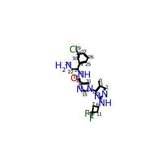 Cc1cnc(NC2CC(F)(F)C2)nc1-n1cnc(C(=O)NC(CN)c2cccc(Cl)c2)c1